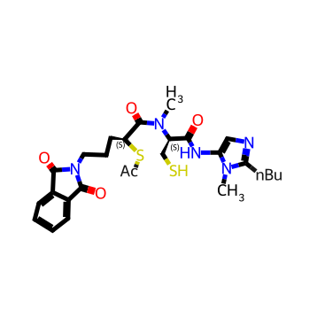 CCCCc1ncc(NC(=O)[C@@H](CS)N(C)C(=O)[C@H](CCCN2C(=O)c3ccccc3C2=O)SC(C)=O)n1C